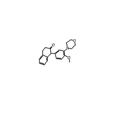 COc1ccc(C2C(=O)CCc3ccccc32)cc1N1CCOCC1